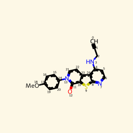 C#CCNc1ccnc2sc3c(=O)n(-c4ccc(OC)cc4)ccc3c12